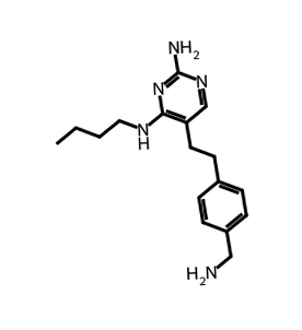 CCCCNc1nc(N)ncc1CCc1ccc(CN)cc1